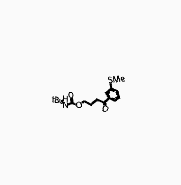 CSc1cccc(C(=O)CCCOC(=O)NC(C)(C)C)c1